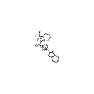 CC(=O)NC1(c2cnn(-c3nc4ccccc4s3)c2)C=CC=CC1C(F)(F)F